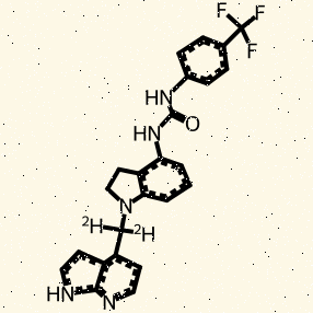 [2H]C([2H])(c1ccnc2[nH]ccc12)N1CCc2c(NC(=O)Nc3ccc(C(F)(F)F)cc3)cccc21